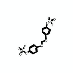 O=S(=O)(F)Oc1ccc(OCOc2ccc(OS(=O)(=O)F)cc2)cc1